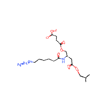 CC(C)COC(=O)C[C@H](COC(=O)CCC(=O)O)NC(=O)CCCCCN=[N+]=[N-]